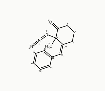 CC1(N=[N+]=[N-])C(=O)CCCC1=Cc1ccccc1